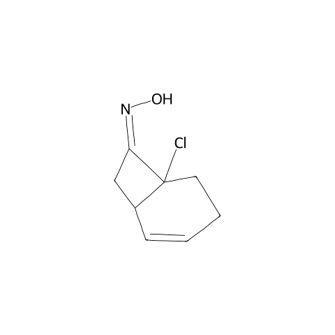 ON=C1CC2C=CCCC12Cl